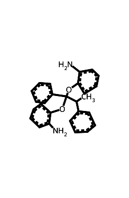 CC(c1ccccc1)C(Oc1ccccc1N)(Oc1ccccc1N)c1ccccc1